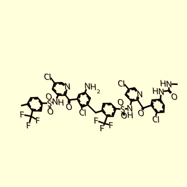 CNC(=O)Nc1ccc(Cl)c(C(=O)c2ncc(Cl)cc2NS(=O)(=O)c2ccc(Cc3cc(N)cc(C(=O)c4ncc(Cl)cc4NS(=O)(=O)c4ccc(C)c(C(F)(F)F)c4)c3Cl)c(C(F)(F)F)c2)c1